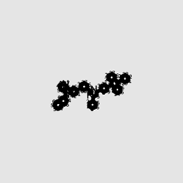 c1ccc(-c2cc(-c3ccc(-c4c5ccccc5c(-c5ccccc5)c5ccccc45)cc3)nc(-c3cccc(-c4ccc5c(c4)c4ncccc4n5-c4ccc5ccccc5c4)c3)n2)cc1